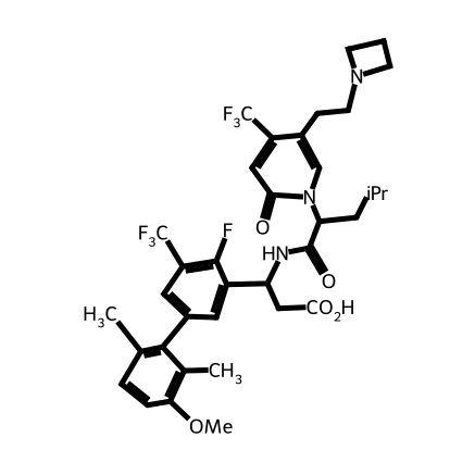 COc1ccc(C)c(-c2cc(C(CC(=O)O)NC(=O)C(CC(C)C)n3cc(CCN4CCC4)c(C(F)(F)F)cc3=O)c(F)c(C(F)(F)F)c2)c1C